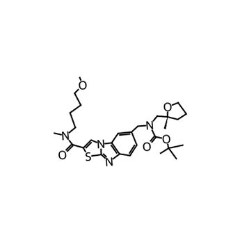 COCCCCN(C)C(=O)c1cn2c(nc3ccc(CN(C[C@@]4(C)CCCO4)C(=O)OC(C)(C)C)cc32)s1